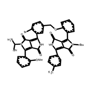 CCCCN1C(=O)C2=C(c3ccc(C(F)(F)F)cc3)NC(=O)C2=C1c1ccccc1OCc1ccc(Br)c(C2=C3C(=O)N(C(N)CCC)C(c4ccccc4OC)=C3C(=O)N2)c1